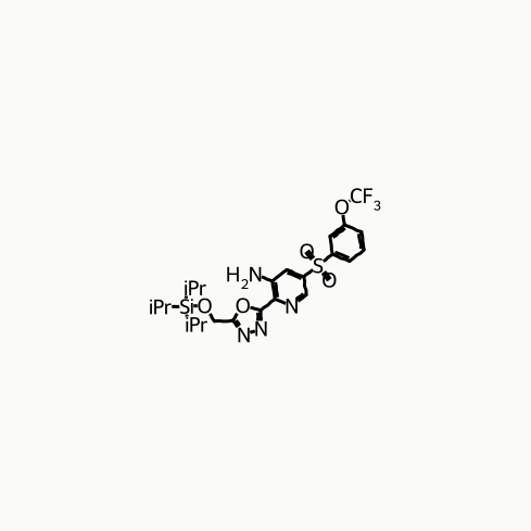 CC(C)[Si](OCc1nnc(-c2ncc(S(=O)(=O)c3cccc(OC(F)(F)F)c3)cc2N)o1)(C(C)C)C(C)C